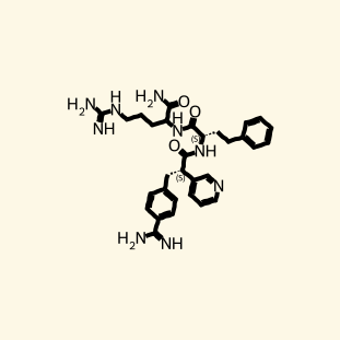 N=C(N)NCCCC(NC(=O)[C@H](CCc1ccccc1)NC(=O)[C@@H](Cc1ccc(C(=N)N)cc1)c1cccnc1)C(N)=O